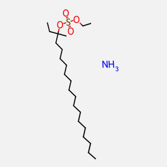 CCCCCCCCCCCCCCCCC(C)(CC)OS(=O)(=O)OCC.N